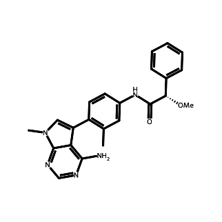 CO[C@H](C(=O)Nc1ccc(-c2cn(C)c3ncnc(N)c23)c(C)c1)c1ccccc1